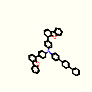 C1=CCCC(C2=CC=C(c3ccc(N(c4ccc(C5CC=Cc6c5oc5ccccc65)cc4)C4C=CC(c5cccc6c5oc5ccccc56)=CC4)cc3)CC2)=C1